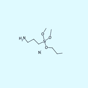 CCCO[Si](CCCN)(OC)OC.[N]